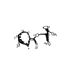 O=C(O)C(=O)OC(=O)c1ccccc1